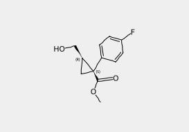 COC(=O)[C@@]1(c2ccc(F)cc2)C[C@H]1CO